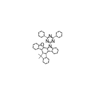 CC1(C)c2ccccc2-c2c1c1c3ccccc3oc1c1c2c2ccccc2n1-c1nc(-c2ccccc2)nc(-c2ccccc2)n1